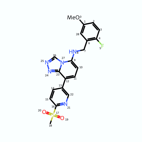 COc1ccc(F)c(CNc2ccc(-c3ccc(S(C)(=O)=O)nc3)c3nncn23)c1